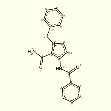 NC(=O)c1c(NC(=O)c2ccccc2)ncn1Cc1ccccc1